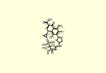 CC(OC(=O)NC1CCN(c2c(F)c(N)c3c(=O)c(C(=O)O)cn(C4CC4)c3c2Cl)C1)(P(=O)(O)O)P(=O)(O)O